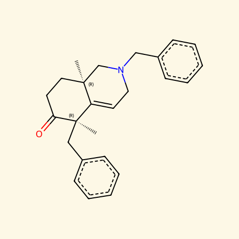 C[C@@]12CCC(=O)[C@](C)(Cc3ccccc3)C1=CCN(Cc1ccccc1)C2